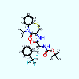 CC(C)N1C(=O)C(NC(=O)[C@@H](Cc2ccccc2C(F)(F)F)NC(=O)OC(C)(C)C)CSc2ccccc21